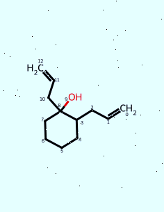 C=CCC1CCCCC1(O)CC=C